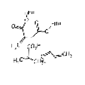 C=C(C)C(=O)O.C=C(CC(=O)OCCCC)C(=O)OCCCC.C=CC=C